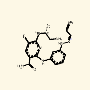 CC[C@H](CN)Nc1nc(Nc2cccc(N/N=C\C=N)c2)c(C(N)=O)cc1F